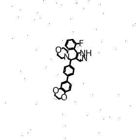 Fc1ccccc1-c1[nH]ncc1C(c1ccc(-c2ccc3c(c2)OCCO3)cc1)N1CCOCC1